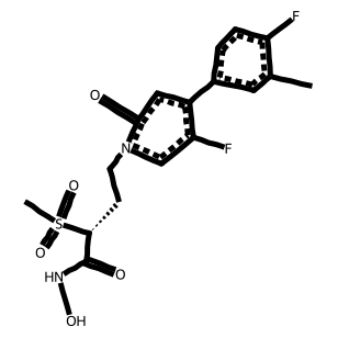 Cc1cc(-c2cc(=O)n(CC[C@H](C(=O)NO)S(C)(=O)=O)cc2F)ccc1F